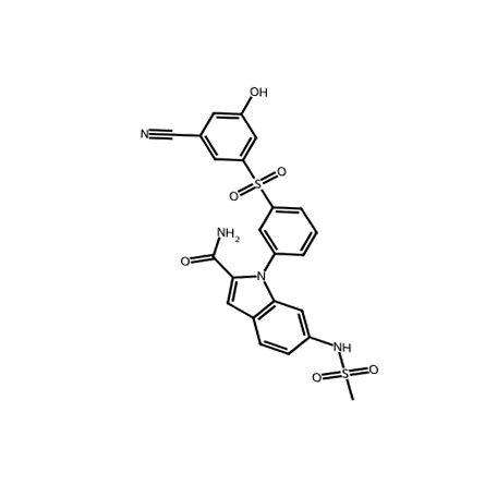 CS(=O)(=O)Nc1ccc2cc(C(N)=O)n(-c3cccc(S(=O)(=O)c4cc(O)cc(C#N)c4)c3)c2c1